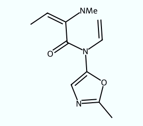 C=CN(C(=O)/C(=C\C)NC)c1cnc(C)o1